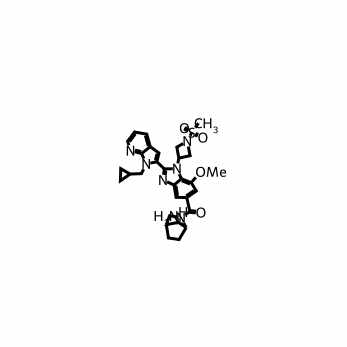 COc1cc(C(=O)N2CC3CCC2[C@@H]3N)cc2nc(-c3cc4cccnc4n3CC3CC3)n(C3CN(S(C)(=O)=O)C3)c12